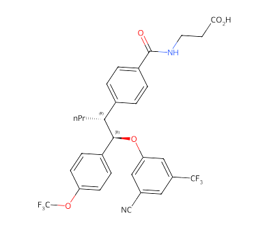 CCC[C@H](c1ccc(C(=O)NCCC(=O)O)cc1)[C@@H](Oc1cc(C#N)cc(C(F)(F)F)c1)c1ccc(OC(F)(F)F)cc1